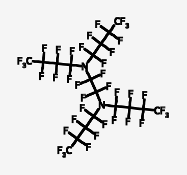 FC(F)(F)C(F)(F)C(F)(F)C(F)(F)N(C(F)(F)C(F)(F)N(C(F)(F)C(F)(F)C(F)(F)C(F)(F)F)C(F)(F)C(F)(F)C(F)(F)C(F)(F)F)C(F)(F)C(F)(F)C(F)(F)C(F)(F)F